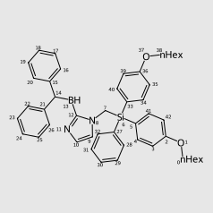 CCCCCCOc1ccc([Si](Cn2ccnc2BC(c2ccccc2)c2ccccc2)(c2ccccc2)c2ccc(OCCCCCC)cc2)cc1